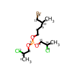 CC(Cl)COP(OCCCC(C)CBr)OCC(C)Cl